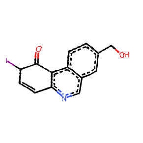 O=C1c2c(ncc3cc(CO)ccc23)C=CC1I